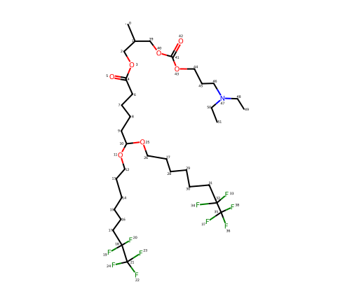 [CH2]C(COC(=O)CCCCC(OCCCCCCC(F)(F)C(F)(F)F)OCCCCCCC(F)(F)C(F)(F)F)COC(=O)OCCCN(CC)CC